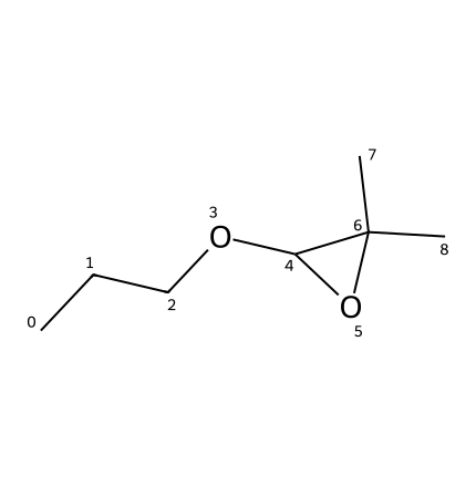 CCCOC1OC1(C)C